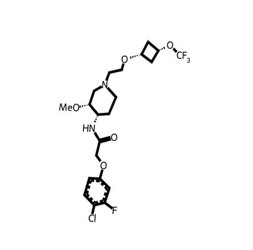 CO[C@@H]1CN(CCO[C@H]2C[C@@H](OC(F)(F)F)C2)CC[C@@H]1NC(=O)COc1ccc(Cl)c(F)c1